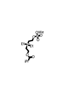 CC[N+](CC)(CCOC(=O)C(C)C)CCOS(=O)(=O)OC